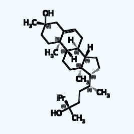 CC(C)[C@@](C)(O)CC[C@@H](C)[C@H]1CC[C@H]2[C@@H]3CC=C4C[C@@](C)(O)CC[C@]4(C)[C@H]3CC[C@]12C